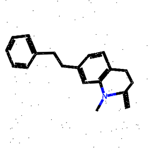 C=C1CCc2ccc(CCc3ccccc3)cc2N1C